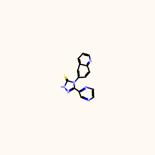 S=c1[nH]nc(-c2cnccn2)n1-c1ccc2ncccc2c1